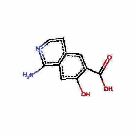 Nc1nccc2cc(C(=O)O)c(O)cc12